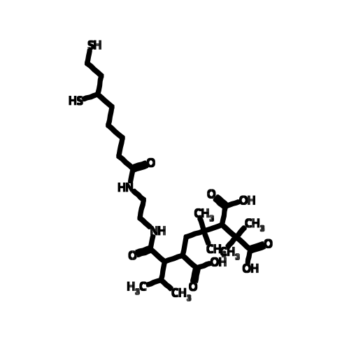 CC(C)C(C(=O)NCCNC(=O)CCCCC(S)CCS)C(CC(C)(C)C(C(=O)O)C(C)(C)C(=O)O)C(=O)O